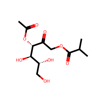 CC(=O)O[C@H](C(=O)COC(=O)C(C)C)[C@H](O)[C@H](O)CO